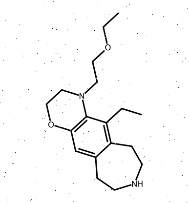 CCOCCN1CCOc2cc3c(c(CC)c21)CCNCC3